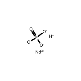 O=P([O-])([O-])[O-].[H+].[Nd+3]